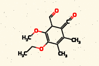 CCOC1=C(OC)C(C=O)C(=C=O)C(C)=C1C